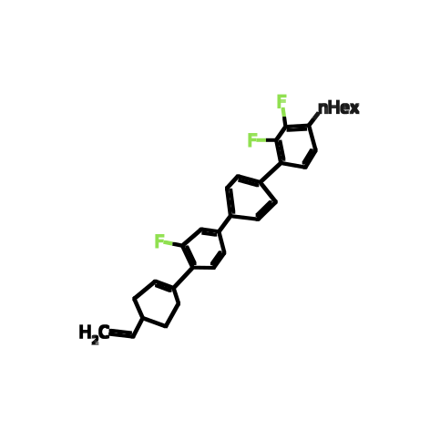 C=CC1CC=C(c2ccc(-c3ccc(-c4ccc(CCCCCC)c(F)c4F)cc3)cc2F)CC1